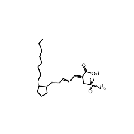 CCCCCCCC[C@H]1CCC[C@@H]1CCC=CC=C(CS(N)(=O)=O)C(=O)O